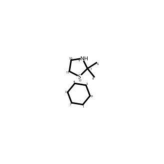 C1CCCCC1.CC1(C)NCCS1